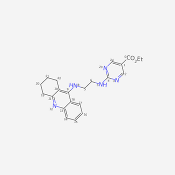 CCOC(=O)c1cnc(NCCNc2c3c(nc4ccccc24)CCCC3)nc1